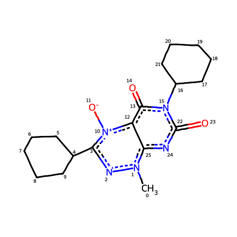 Cn1nc(C2CCCCC2)[n+]([O-])c2c(=O)n(C3CCCCC3)c(=O)nc1-2